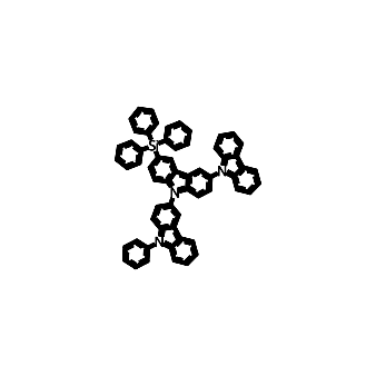 c1ccc(-n2c3ccccc3c3cc(-n4c5ccc(-n6c7ccccc7c7ccccc76)cc5c5cc([Si](c6ccccc6)(c6ccccc6)c6ccccc6)ccc54)ccc32)cc1